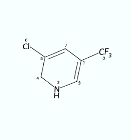 FC(F)(F)C1=[C]NCC(Cl)=C1